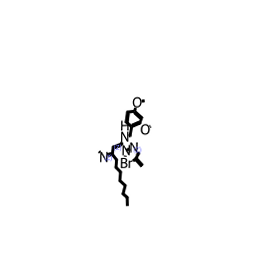 C=C(Br)/C=N\N(C)/C(=C\C(CCCCCCCC)=N/C)NCc1ccc(OC)cc1OC